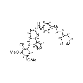 COc1cc(OC)c(Cl)c(-c2cc3cnc(Nc4ccc(OCCN5CCOCC5)cc4)nc3n3cnnc23)c1